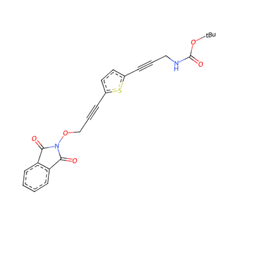 CC(C)(C)OC(=O)NCC#Cc1ccc(C#CCON2C(=O)c3ccccc3C2=O)s1